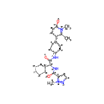 Cc1c(-c2ccc(NC(=O)C(NC(=O)c3ccnn3C)C3CCCCC3)cc2)ccc(=O)n1C